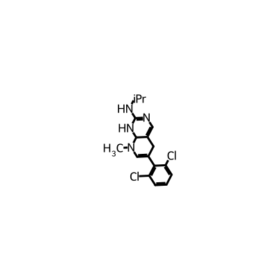 CC(C)NC1=NC=C2CC(c3c(Cl)cccc3Cl)=CN(C)C2N1